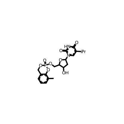 Cc1cccc2c1OP(=O)(OCC1OC(n3cc(C(C)C)c(=O)[nH]c3=O)CC1O)OC2